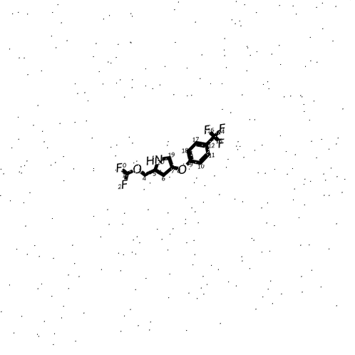 FC(F)OCC1CC(Oc2ccc(C(F)(F)F)cc2)CN1